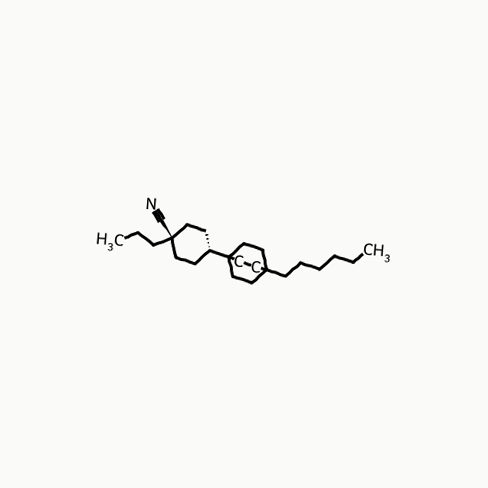 CCCCCCC12CCC([C@H]3CC[C@@](C#N)(CCC)CC3)(CC1)CC2